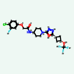 O=C(COc1ccc(Cl)c(F)c1)NC1CCN(c2nnc([C@H]3C[C@@H](OC(F)(F)F)C3)o2)CC1